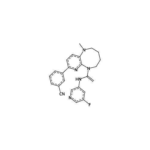 C=C(Nc1cncc(F)c1)N1CCCCN(C)c2ccc(-c3cccc(C#N)c3)nc21